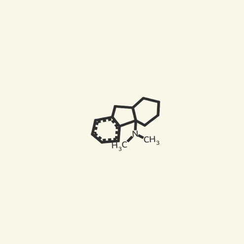 CN(C)C12CCCCC1Cc1ccccc12